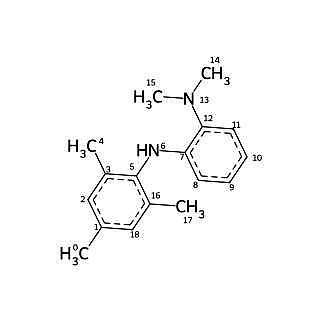 Cc1cc(C)c(Nc2ccccc2N(C)C)c(C)c1